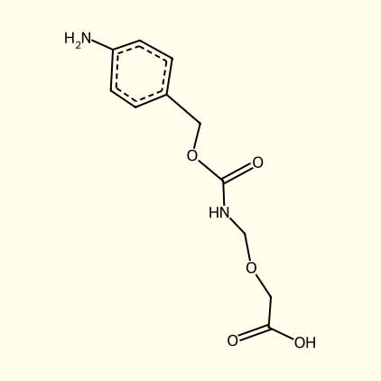 Nc1ccc(COC(=O)NCOCC(=O)O)cc1